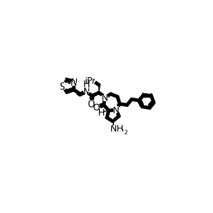 CC(C)C[C@H](C(=O)NCc1cscn1)N1CCC(CCc2ccccc2)N2C[C@H](N)C[C@H]2C1=O